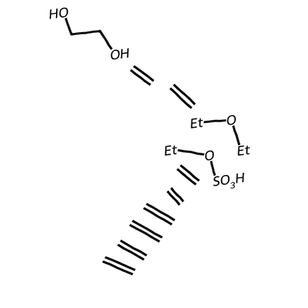 C=C.C=C.C=C.C=C.C=C.C=C.C=C.C=C.CCOCC.CCOS(=O)(=O)O.OCCO